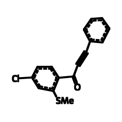 CSc1cc(Cl)ccc1C(=O)C#Cc1ccccc1